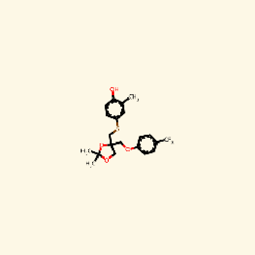 Cc1cc(SCC2(COc3ccc(C(F)(F)F)cc3)COC(C)(C)O2)ccc1O